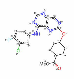 COC(=O)C1CCC(Oc2ncc3ncnc(Nc4ccc(F)c(Cl)c4)c3n2)CC1